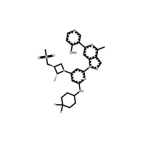 COc1ccncc1-c1cc2c(cnn2-c2cc(N3C[C@H](CS(C)(=O)=O)[C@H]3C)cc(NC3CCC(F)(F)CC3)n2)c(C)n1